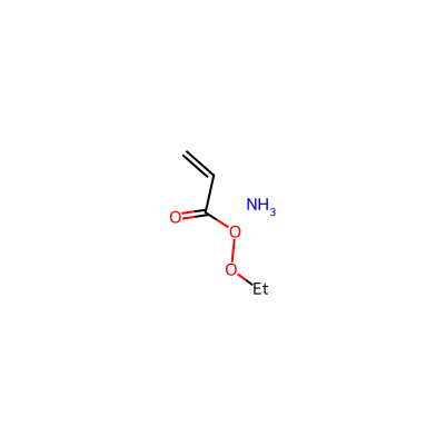 C=CC(=O)OOCC.N